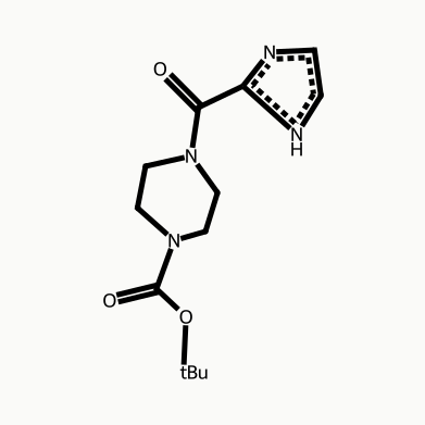 CC(C)(C)OC(=O)N1CCN(C(=O)c2ncc[nH]2)CC1